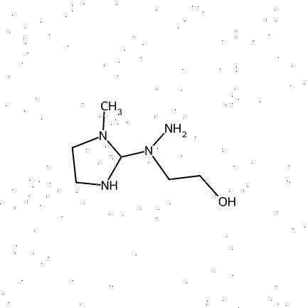 CN1CCNC1N(N)CCO